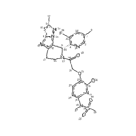 Cc1cnc([C@H]2c3c(nc4sc(C)nn34)CCN2C(=O)COc2ccc(N(C)S(C)(=O)=O)nc2Cl)c(F)c1